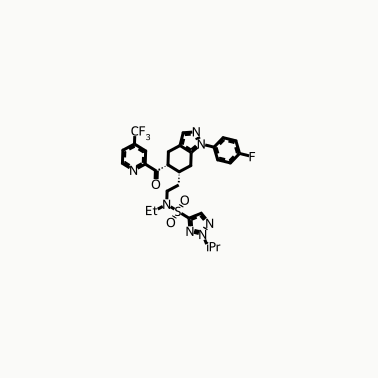 CCN(CC[C@H]1Cc2c(cnn2-c2ccc(F)cc2)C[C@H]1C(=O)c1cc(C(F)(F)F)ccn1)S(=O)(=O)c1cnn(C(C)C)n1